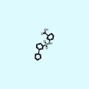 O=C(O)c1cccc(NS(=O)(=O)c2cccc(-c3ccccc3)c2)c1